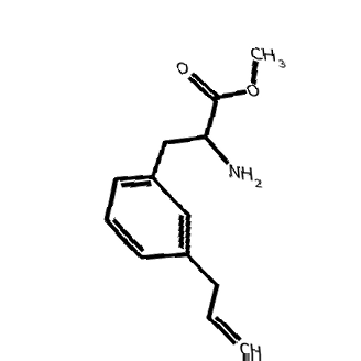 C=CCc1cccc(CC(N)C(=O)OC)c1